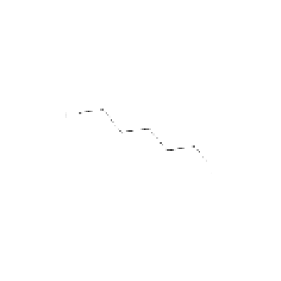 [B]CCCCCCCC